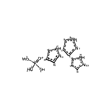 O=P(O)(O)O.c1cn[nH]c1.c1cn[nH]c1.c1cn[nH]c1